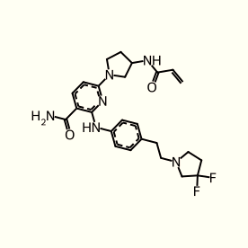 C=CC(=O)NC1CCN(c2ccc(C(N)=O)c(Nc3ccc(CCN4CCC(F)(F)C4)cc3)n2)C1